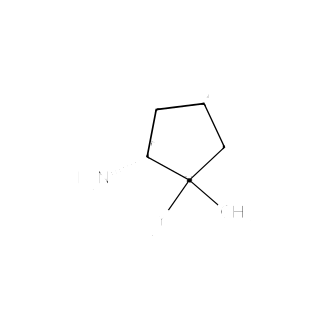 C[C]1([Y])CCC[C@H]1N